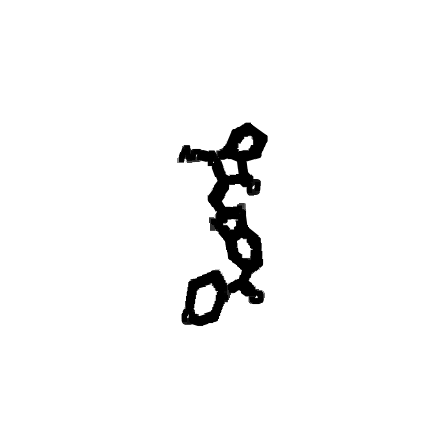 CC(=O)N1/C(=C/c2nc3cc(C(=O)N4CCOCC4)ccc3s2)C(=O)c2ccccc21